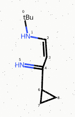 CC(C)(C)N/C=C\C(=N)C1CC1